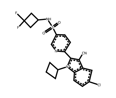 N#Cc1c(-c2ccc(S(=O)(=O)NC3CC(F)(F)C3)cn2)n(C2CCC2)c2ccc(Cl)cc12